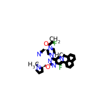 C#Cc1cccc2cccc(-c3ncc4c(N5CCN(C(=O)C(=C)F)[C@@H](CC#N)C5)nc(OC[C@@H]5CCCN5C)nc4c3F)c12